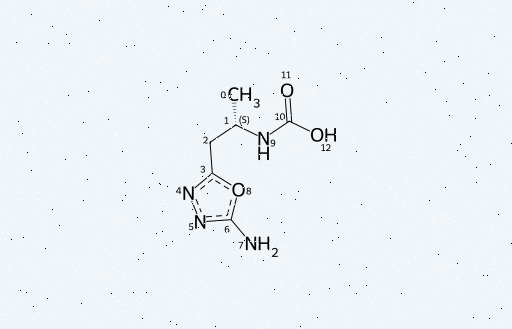 C[C@@H](Cc1nnc(N)o1)NC(=O)O